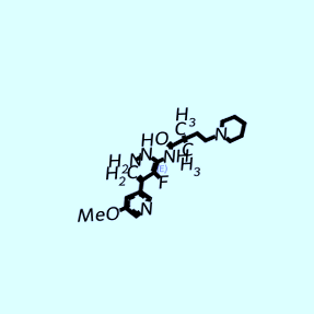 C=C(/C(F)=C(\NN)NC(=O)C(C)(C)CCN1CCCCC1)c1cncc(OC)c1